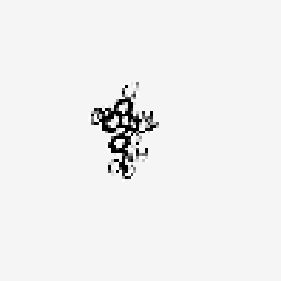 CCOC(=O)C1(c2cccc(NC(=O)OC)c2)Nc2cc(Cl)cc(Cl)c2C1/C=C\C(=O)OC